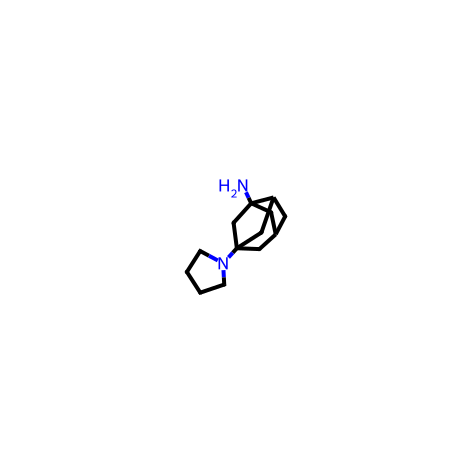 NC12CC3CC1CC(N1CCCC1)(C3)C2